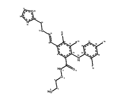 O=C(NOCCO)c1cc(C=NOCc2ncco2)c(F)c(F)c1Nc1ccc(I)cc1F